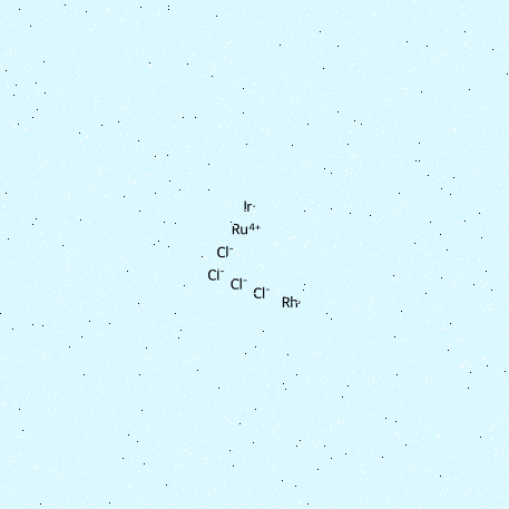 [Cl-].[Cl-].[Cl-].[Cl-].[Ir].[Rh].[Ru+4]